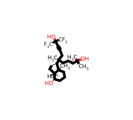 CC(C)(O)CCC[C@](C)(CC#CC(O)(C(F)(F)F)C(F)(F)F)[C@H]1CC[C@H]2[C@@H](O)CCC[C@@]12C